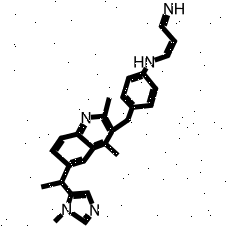 Cc1nc2ccc(C(C)c3cncn3C)cc2c(C)c1Cc1ccc(N/C=C\C=N)cc1